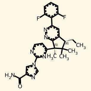 CC[C@H]1c2cc(-c3c(F)cccc3F)nnc2[C@](C)(c2ccnc(-n3cnc(C(N)=O)c3)n2)C1(C)C